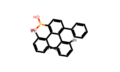 CC(C)c1cccc(C(C)C)c1-c1c(-c2ccccc2)ccc(P(O)O)c1-c1c(C(C)C)cccc1C(C)C